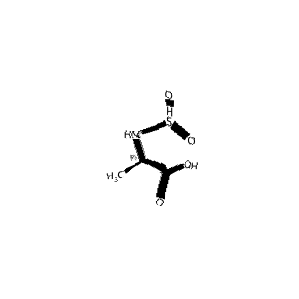 C[C@@H](N[SH](=O)=O)C(=O)O